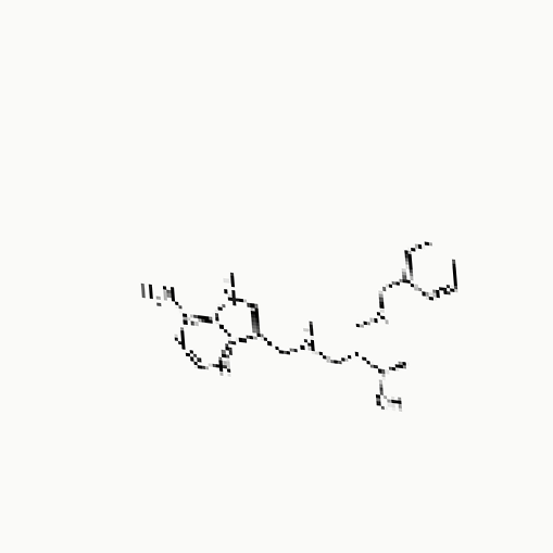 C/C=C\C(=C/C)CSC[C@@H](CNCc1c[nH]c2c(N)ncnc12)[C@@H](C)O